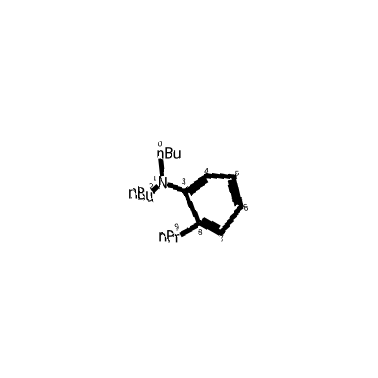 CCCCN(CCCC)c1ccccc1CCC